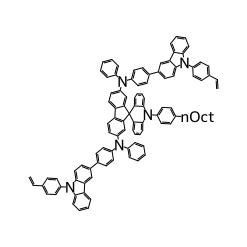 C=Cc1ccc(-n2c3ccccc3c3cc(-c4ccc(N(c5ccccc5)c5ccc6c(c5)C5(c7cc(N(c8ccccc8)c8ccc(-c9ccc%10c(c9)c9ccccc9n%10-c9ccc(C=C)cc9)cc8)ccc7-6)c6ccccc6N(c6ccc(CCCCCCCC)cc6)c6ccccc65)cc4)ccc32)cc1